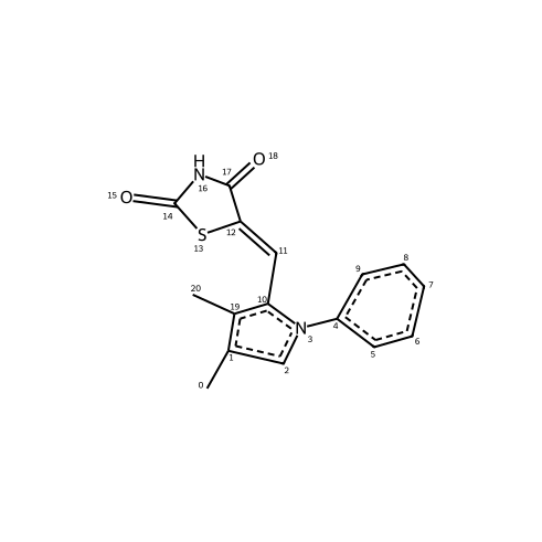 Cc1cn(-c2ccccc2)c(C=C2SC(=O)NC2=O)c1C